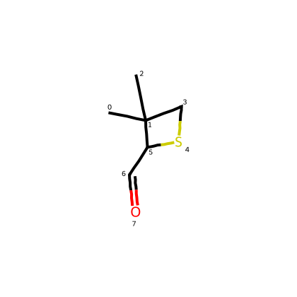 CC1(C)CSC1C=O